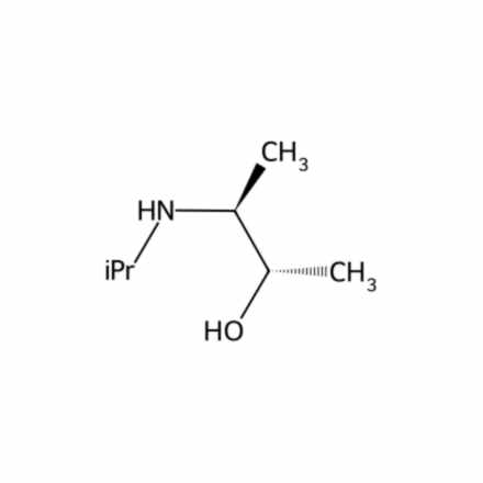 CC(C)N[C@@H](C)[C@H](C)O